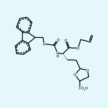 C=CCOC(=O)[C@H](CCC1OCC(C(=O)O)O1)NC(=O)OCC1c2ccccc2-c2ccccc21